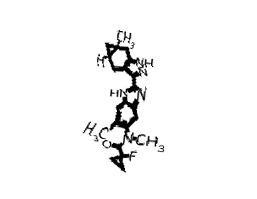 Cc1cc2[nH]c(-c3n[nH]c4c3C[C@@H]3C[C@]3(C)C4)nc2cc1N(C)C(=O)C1(F)CC1